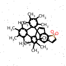 Cc1c(C)c(C)c2c(c1C)-c1c(C)c(C)c(C)c(C)c1C1(C=Cc3c1ccc1c3S(=O)(=O)C=C1)c1c(C)c(C)c(C)c(C)c1-2